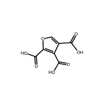 O=C(O)c1coc(C(=O)O)c1C(=O)O